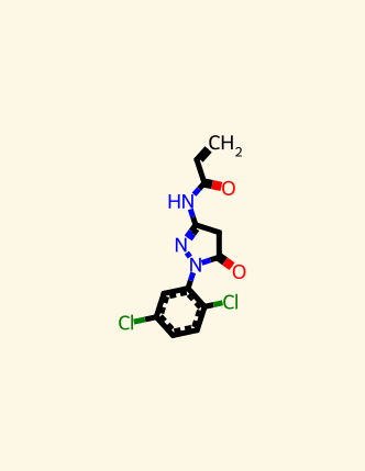 C=CC(=O)NC1=NN(c2cc(Cl)ccc2Cl)C(=O)C1